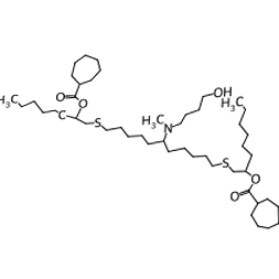 CCCCCCC(CSCCCCCC(CCCCCSCC(CCCCCC)OC(=O)C1CCCCCC1)N(C)CCCCO)OC(=O)C1CCCCCC1